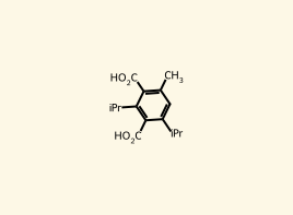 Cc1cc(C(C)C)c(C(=O)O)c(C(C)C)c1C(=O)O